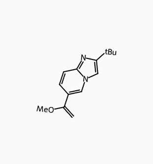 C=C(OC)c1ccc2nc(C(C)(C)C)cn2c1